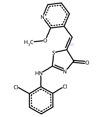 COc1ncccc1/C=C1\SC(Nc2c(Cl)cccc2Cl)=NC1=O